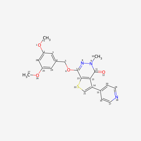 COc1cc(COc2nn(C)c(=O)c3c(-c4ccncc4)csc23)cc(OC)c1